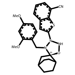 COc1ccc(CN2N(c3cc4cccc(C#N)c4s3)NO[C@@]23CC2CCC3CC2)c(OC)c1